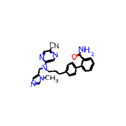 Cn1cncc1CN(CCCc1ccc(-c2ccccc2C(N)=O)cc1)c1cnc(C#N)cn1